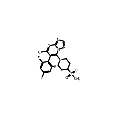 CS(=O)(=O)C1CCN(c2c(-c3c(F)cc(F)cc3F)c(Cl)nc3ncnn23)CC1